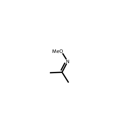 [CH2]ON=C(C)C